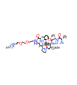 CCC(C)[C@@H](C(CC(=O)N1CCC[C@H]1[C@H](OC)[C@@H](C)C(=O)N[C@@H](Cc1ccccc1)C(=O)NCCOCCOCCNC(=O)O)OC)N(C)C(=O)[C@@H](NC(=O)[C@H](C(C)C)N(C)C)C(C)C